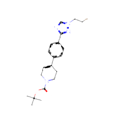 CC(C)(C)OC(=O)N1CC=C(c2ccc(-c3ncn(CCBr)n3)cc2)CC1